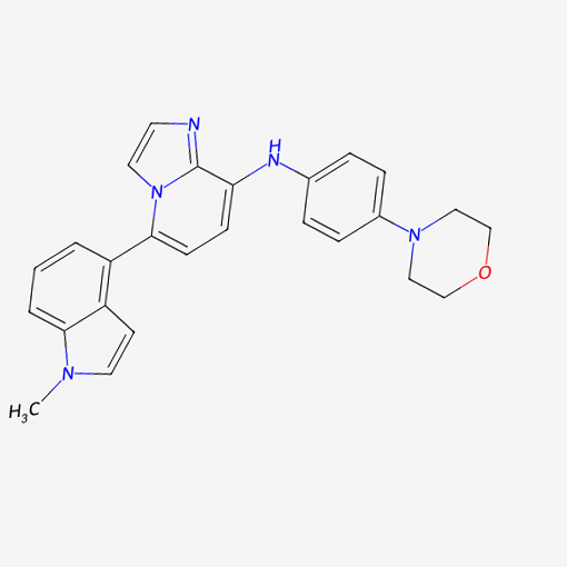 Cn1ccc2c(-c3ccc(Nc4ccc(N5CCOCC5)cc4)c4nccn34)cccc21